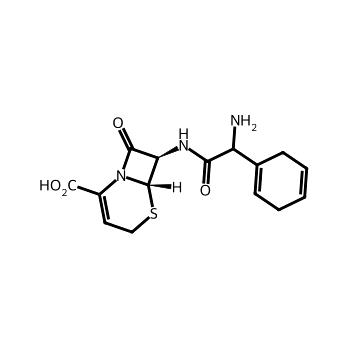 NC(C(=O)N[C@@H]1C(=O)N2C(C(=O)O)=CCS[C@@H]12)C1=CCC=CC1